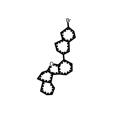 Brc1ccc2cc(-c3cccc4c3oc3ccc5ccccc5c34)ccc2c1